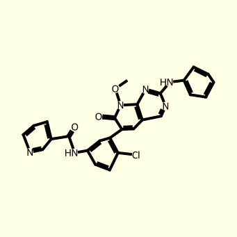 COn1c(=O)c(-c2cc(NC(=O)c3cccnc3)ccc2Cl)cc2cnc(Nc3ccccc3)nc21